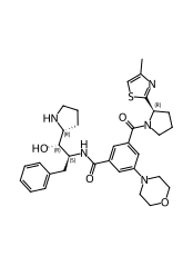 Cc1csc([C@H]2CCCN2C(=O)c2cc(C(=O)N[C@@H](Cc3ccccc3)[C@H](O)[C@H]3CCCN3)cc(N3CCOCC3)c2)n1